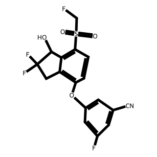 N#Cc1cc(F)cc(Oc2ccc(S(=O)(=O)CF)c3c2CC(F)(F)C3O)c1